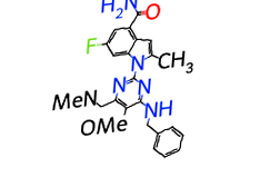 CNCc1nc(-n2c(C)cc3c(C(N)=O)cc(F)cc32)nc(NCc2ccccc2)c1OC